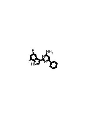 Nc1cc(-c2ccccc2)nc(-c2c[nH]c3c(F)cc(F)cc23)n1